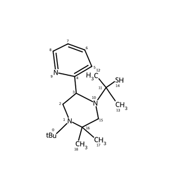 CC(C)(C)N1CC(c2ccccn2)N(C(C)(C)S)CC1(C)C